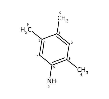 Cc1cc(C)c([NH])cc1C